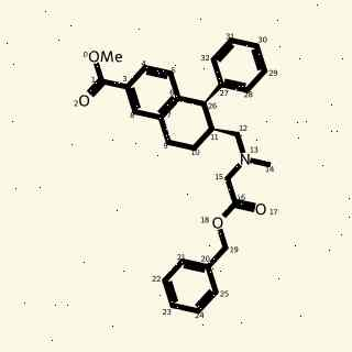 COC(=O)c1ccc2c(c1)CC[C@H](CN(C)CC(=O)OCc1ccccc1)[C@@H]2c1ccccc1